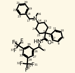 CC(NC(=O)C1(c2ccccc2)CCC(N(C)Cc2ccccc2)CC1)c1cc(C(F)(F)F)cc(C(F)(F)F)c1